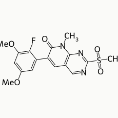 COc1cc(OC)c(F)c(-c2cc3cnc(S(C)(=O)=O)nc3n(C)c2=O)c1